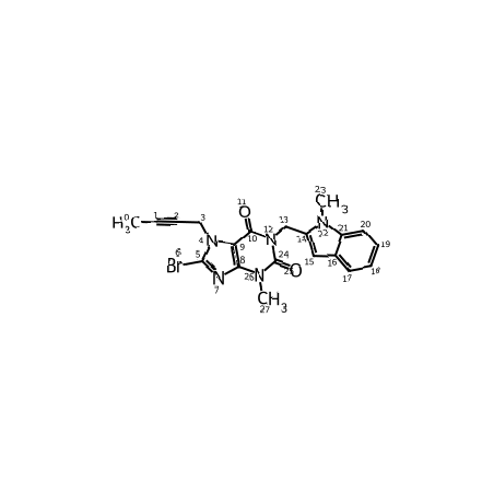 CC#CCn1c(Br)nc2c1c(=O)n(Cc1cc3ccccc3n1C)c(=O)n2C